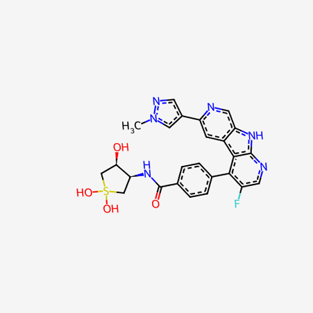 Cn1cc(-c2cc3c(cn2)[nH]c2ncc(F)c(-c4ccc(C(=O)N[C@H]5CS(O)(O)C[C@H]5O)cc4)c23)cn1